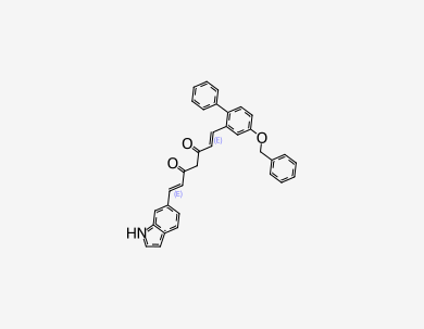 O=C(/C=C/c1ccc2cc[nH]c2c1)CC(=O)/C=C/c1cc(OCc2ccccc2)ccc1-c1ccccc1